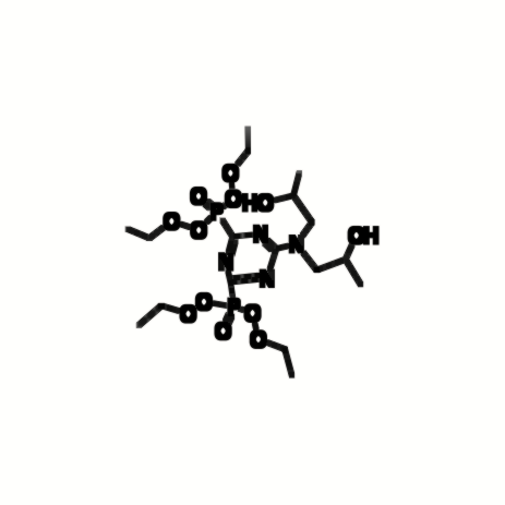 CCOOP(=O)(OOCC)c1nc(N(CC(C)O)CC(C)O)nc(P(=O)(OOCC)OOCC)n1